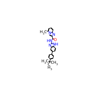 Cc1cccc2nc(C(=O)Nc3nc4cc(-c5ccc(C(C)(C)C)cc5)ccc4[nH]3)cn12